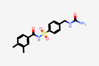 Cc1ccc(C(=O)NS(=O)(=O)c2ccc(CNC(N)=O)cc2)cc1C